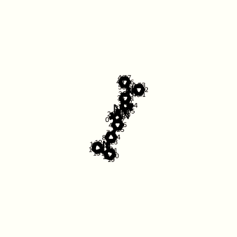 CC1(C)c2cc(-c3ccc(-n4c5ccccc5c5ccccc54)cc3)ccc2-c2nc3c(nc21)-c1ccc(N(c2ccccc2)c2ccccc2)cc1C3(C)C